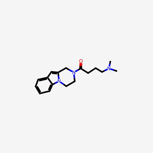 CN(C)CCCC(=O)N1CCn2c(cc3ccccc32)C1